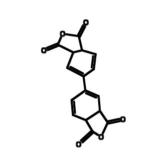 O=C1OC(=O)C2C=C(C3=CC4C(=O)OC(=O)C4C=C3)C=CC12